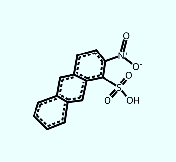 O=[N+]([O-])c1ccc2cc3ccccc3cc2c1S(=O)(=O)O